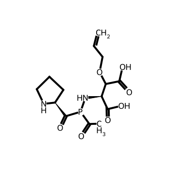 C=CCOC(C(=O)O)[C@H](NP(C(C)=O)C(=O)[C@@H]1CCCN1)C(=O)O